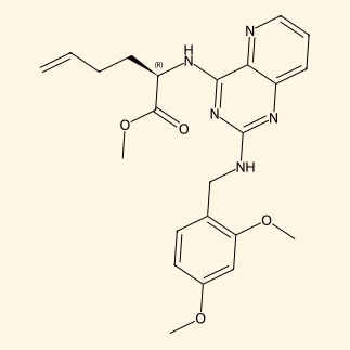 C=CCC[C@@H](Nc1nc(NCc2ccc(OC)cc2OC)nc2cccnc12)C(=O)OC